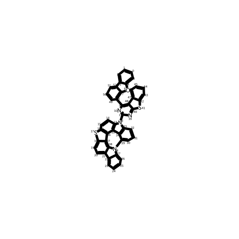 c1ccc2c(c1)oc1c(-c3nc(-n4c5ccc6sc7ccc8c9ccccc9n9c%10cccc4c%10c5c6c7c89)nc4sc5ccccc5c34)cccc12